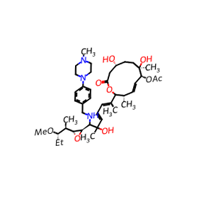 CC[C@H](OC)[C@@H](C)[C@H]1O[C@@H]1C(NCc1ccc(N2CCN(C)CC2)cc1)C(C)(O)/C=C/C=C(\C)C1OC(=O)C[C@H](O)CC[C@@](C)(O)[C@@H](OC(C)=O)/C=C/[C@@H]1C